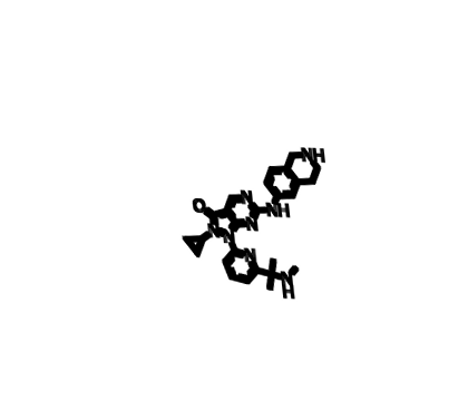 CNC(C)(C)c1cccc(-n2c3nc(Nc4ccc5c(c4)CCNC5)ncc3c(=O)n2C2CC2)n1